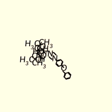 CC1(C)O[C@H]2[C@@H](O1)[C@@H](CN1CCN(c3ccc(OCc4ccccc4)cc3)CC1)O[C@@H]1OC(C)(C)O[C@@H]12